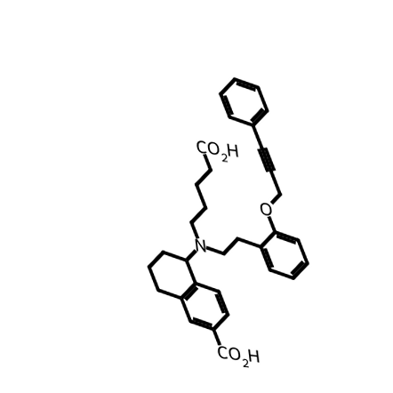 O=C(O)CCCCN(CCc1ccccc1OCC#Cc1ccccc1)C1CCCc2cc(C(=O)O)ccc21